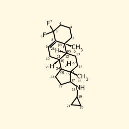 C[C@]12CCCC(F)(F)C1=CC[C@@H]1[C@H]2CC[C@]2(C)C(NC3CC3)CC[C@@H]12